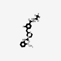 COc1ccccc1NC(=O)N1CCSC(Cc2ccc(C(=O)NNC(=O)C(F)(F)F)cc2F)C1